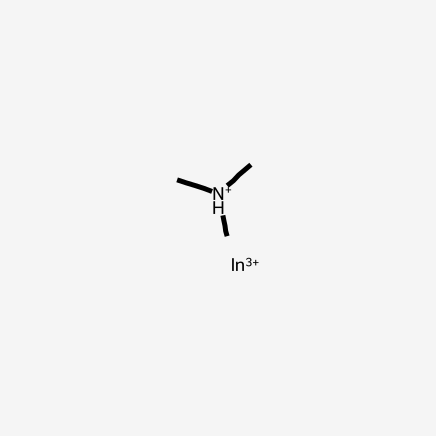 C[NH+](C)C.[In+3]